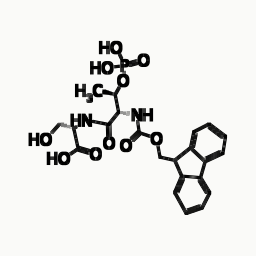 C[C@@H](OP(=O)(O)O)[C@H](NC(=O)OCC1c2ccccc2-c2ccccc21)C(=O)N[C@@H](CO)C(=O)O